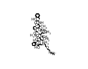 CC[C@H](C)[C@@H]([C@@H](CC(=O)N1CCC[C@H]1[C@H](OC)[C@@H](C)C(=O)N[C@@H](Cc1ccccc1)C(=O)O)OC)N(C)C(=O)[C@@H](NC(=O)[C@@H]1[C@H]2CC[C@H](C2)N1C(=O)CCOCCOCCN=[N+]=[N-])C(C)C